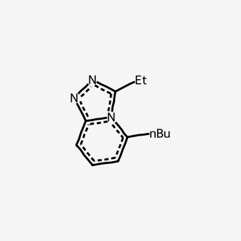 CCCCc1cccc2nnc(CC)n12